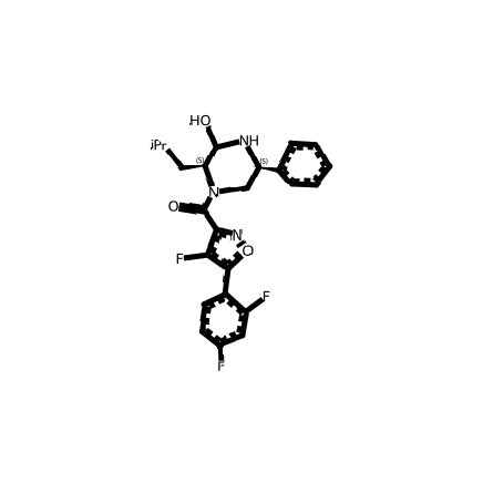 CC(C)C[C@H]1C(O)N[C@@H](c2ccccc2)CN1C(=O)c1noc(-c2ccc(F)cc2F)c1F